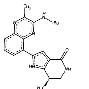 Cc1nc2cccc(-c3cc4c([nH]3)[C@H](C)CNC4=O)c2nc1NC(C)(C)C